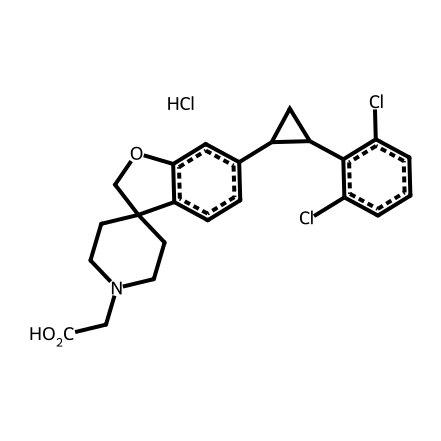 Cl.O=C(O)CN1CCC2(CC1)COc1cc(C3CC3c3c(Cl)cccc3Cl)ccc12